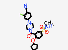 CNS(=O)(=O)c1ccc(OC2CCCC2)c(C(=O)N2CCN(c3ccc(C#N)c(F)c3)CC2)c1